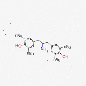 CCCCc1cc(CC(N)Cc2cc(CCCC)c(O)c(CCCC)c2)cc(CCCC)c1O